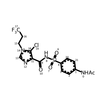 CC(=O)Nc1ccc(S(=O)(=O)NC(=O)c2ncn(CCC(F)(F)F)c2Cl)cc1